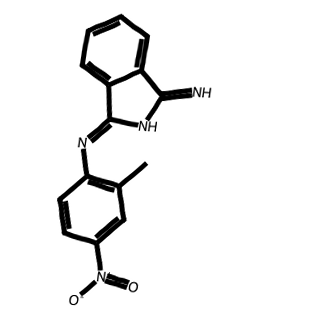 Cc1cc([N+](=O)[O-])ccc1N=C1NC(=N)c2ccccc21